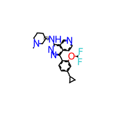 CN1CCC[C@@H](Nc2nnc(-c3ccc(C4CC4)cc3OC(F)F)c3ccncc23)C1